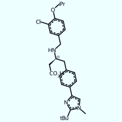 CC(C)Oc1ccc(CN[C@H](CC(=O)O)Cc2ccc(-c3cn(C)c(C(C)(C)C)n3)cc2)cc1Cl